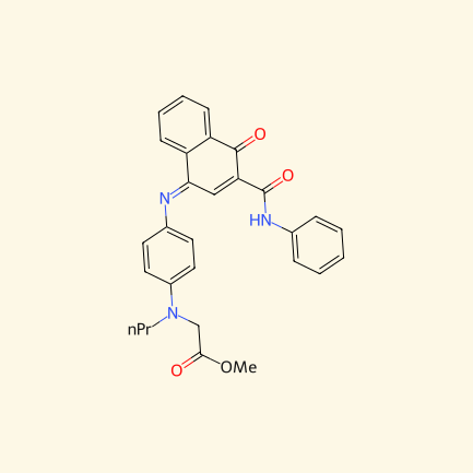 CCCN(CC(=O)OC)c1ccc(N=C2C=C(C(=O)Nc3ccccc3)C(=O)c3ccccc32)cc1